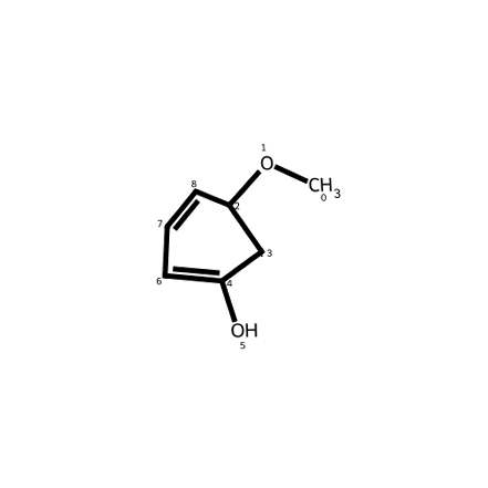 COC1[CH]C(O)=CC=C1